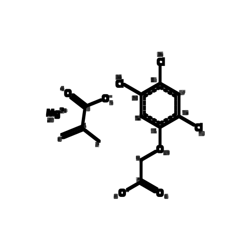 C=C(C)C(=O)[O-].O=C([O-])COc1cc(Cl)c(Cl)cc1Cl.[Mg+2]